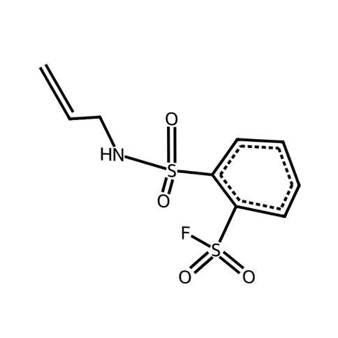 C=CCNS(=O)(=O)c1ccccc1S(=O)(=O)F